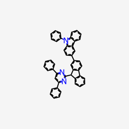 c1ccc(-c2cc(-c3ccccc3)nc(C3c4ccccc4-c4ccc(-c5ccc6c(c5)c5ccccc5n6-c5ccccc5)cc43)n2)cc1